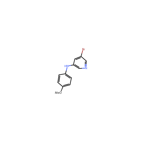 COc1ccc(Nc2cncc(Br)c2)cc1